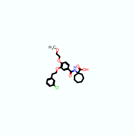 COCCOc1ccc(C(=O)NC2(C(=O)O)CCCCCC2)cc1OCCc1cccc(Cl)c1